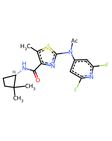 CC(=O)N(c1cc(F)nc(F)c1)c1nc(C(=O)N[C@H]2CCC2(C)C)c(C)s1